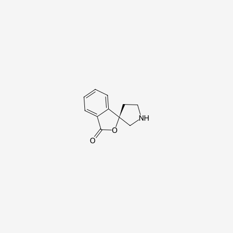 O=C1O[C@]2(CCNC2)c2ccccc21